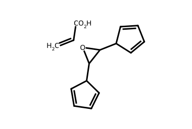 C1=CC(C2OC2C2C=CC=C2)C=C1.C=CC(=O)O